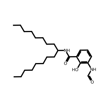 CCCCCCCCC(CCCCCCCC)NC(=O)c1cccc(NC=O)c1O